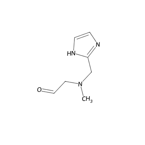 CN(CC=O)Cc1ncc[nH]1